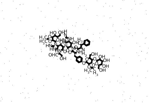 CC(c1ccccc1)[C@H](N)C(=O)N[C@@H](Cc1ccc(OC2OC(CO)C(OC3OC(CO)C(O)C(O)C3O)C3OC(C)(C)OC23)cc1)C(=O)N[C@H](C(=O)N[C@H](C(=O)N[C@H]([C]=O)CO)C(O)C1CNC(=N)N1C1OC(CO)C(O)C2OC(C)(C)OC21)C(O)C1CNC(=N)N1